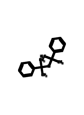 CC(C)([N]C(C)(C)c1ccccc1)c1ccccc1